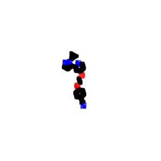 N#Cc1ccc(OCCOc2ccnc(-c3ccnn3C3CC3)c2)cc1